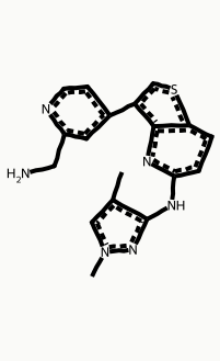 Cc1cn(C)nc1Nc1ccc2scc(-c3ccnc(CN)c3)c2n1